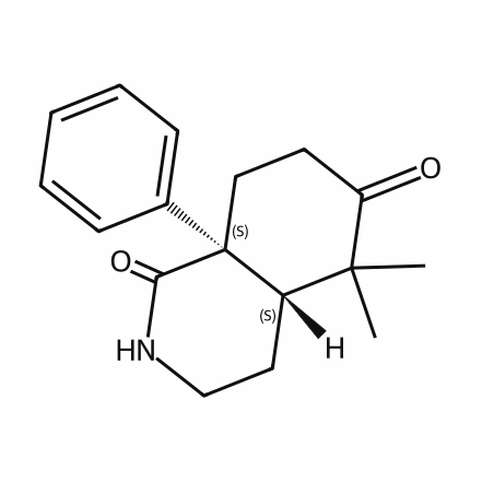 CC1(C)C(=O)CC[C@]2(c3ccccc3)C(=O)NCC[C@@H]12